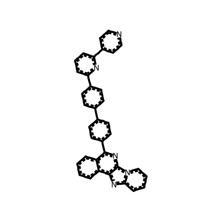 c1cc(-c2ccncc2)nc(-c2ccc(-c3ccc(-c4nc5c(nc6ccccn65)c5ccccc45)cc3)cc2)c1